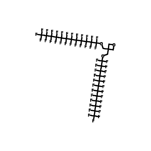 FC(F)(F)C(F)(F)C(F)(F)C(F)(F)C(F)(F)C(F)(F)C(F)(F)C(F)(F)C(F)(F)C(F)(F)C(F)(F)C(F)(F)OCC1(COC(F)(F)C(F)(F)C(F)(F)C(F)(F)C(F)(F)C(F)(F)C(F)(F)C(F)(F)C(F)(F)C(F)(F)C(F)(F)C(F)(F)F)COC1